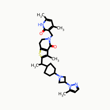 Cc1cc(C)c(CN2CCc3sc(C(C)C4CCC(N5CC(n6nccc6C)C5)CC4)c(C)c3C2=O)c(=O)[nH]1